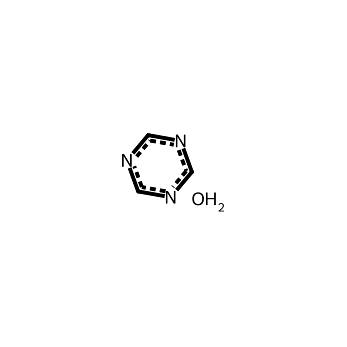 O.c1ncncn1